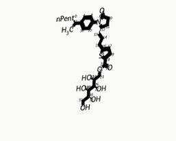 CCCCC[C@H](C)c1ccc(N2C(=O)CC[C@@H]2CCCc2ccc(C(=O)OC[C@H](O)[C@@H](O)[C@H](O)[C@H](O)CO)s2)cc1